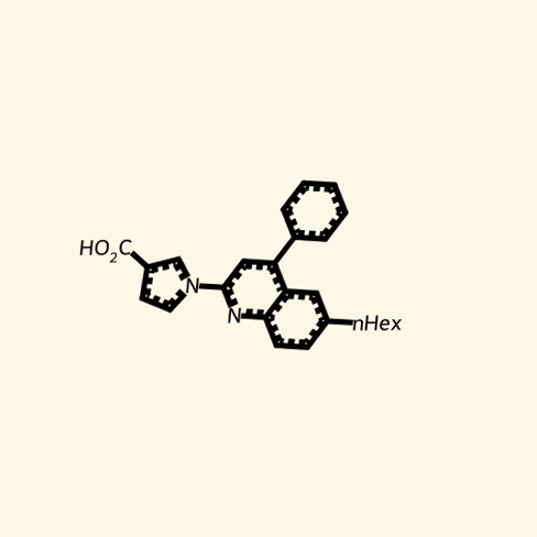 CCCCCCc1ccc2nc(-n3ccc(C(=O)O)c3)cc(-c3ccccc3)c2c1